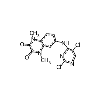 Cn1c(=O)c(=O)n(C)c2cc(Nc3nc(Cl)ncc3Cl)ccc21